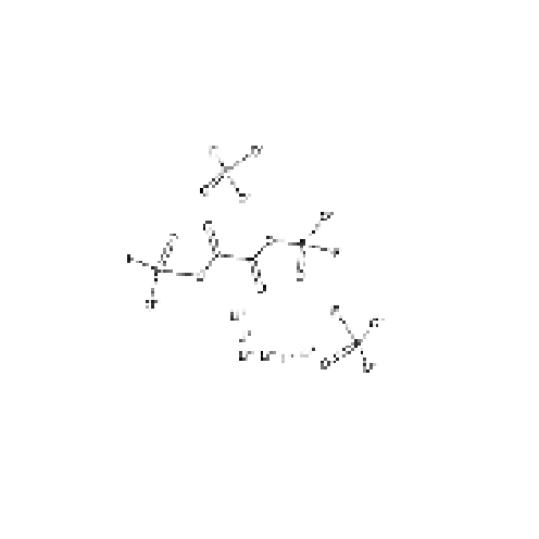 O=C(OP(=O)([O-])F)C(=O)OP(=O)([O-])F.O=P([O-])([O-])F.O=P([O-])([O-])F.[Li+].[Li+].[Li+].[Li+].[Li+].[Li+]